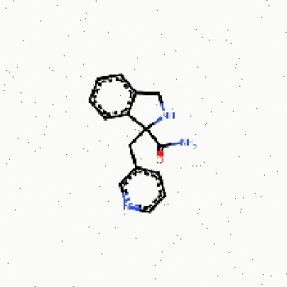 NC(=O)C1(Cc2cccnc2)NCc2ccccc21